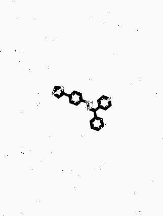 c1ccc(C(=NNc2ccc(-c3cnco3)cc2)c2ccncc2)cc1